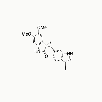 COc1cc2c(cc1OC)[C@]1(C[C@H]1c1ccc3c(I)n[nH]c3c1)C(=O)N2